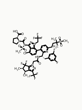 C[C@@H]1c2c(C(F)(F)F)nn(CC(=O)N[C@@H](Cc3cc(F)cc(F)c3)c3nc(CCC(C)(C)S(C)(=O)=O)ccc3-c3ccc(Cl)c4c(N(C(=O)N5CCC[C@H]5C(=O)O)S(C)(=O)=O)nn(CC(F)(F)F)c34)c2C(F)(F)[C@@H]1C